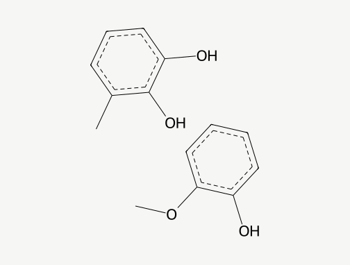 COc1ccccc1O.Cc1cccc(O)c1O